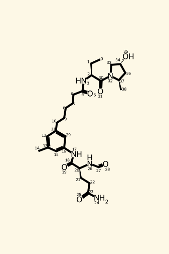 CC[C@H](NC(=O)CCCCCc1cc(C)cc(NC(=O)[C@H](CCC(N)=O)NC=O)c1)C(=O)N1C[C@H](O)C[C@H]1C